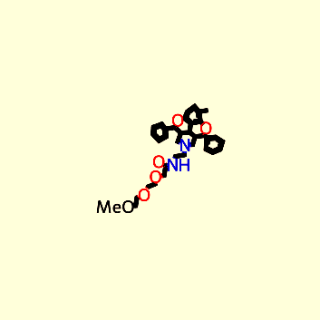 COCCOCCOCC(=O)NCCN1CC(C(=O)c2ccccc2)C(c2cccc(C)c2C)C(C(=O)c2ccccc2)C1